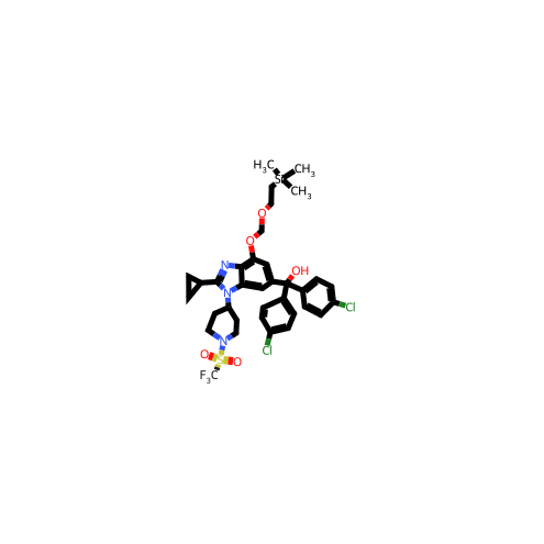 C[Si](C)(C)CCOCOc1cc(C(O)(c2ccc(Cl)cc2)c2ccc(Cl)cc2)cc2c1nc(C1CC1)n2C1CCN(S(=O)(=O)C(F)(F)F)CC1